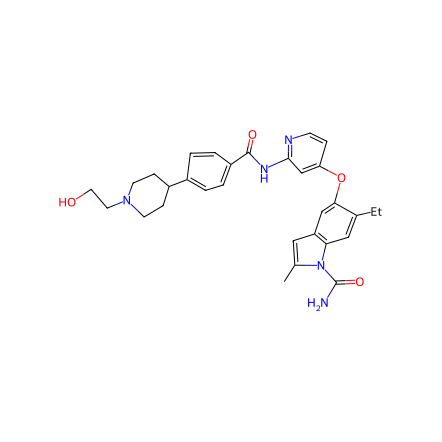 CCc1cc2c(cc1Oc1ccnc(NC(=O)c3ccc(C4CCN(CCO)CC4)cc3)c1)cc(C)n2C(N)=O